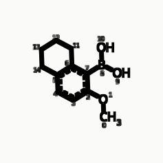 COc1ccc2c(c1B(O)O)CCCC2